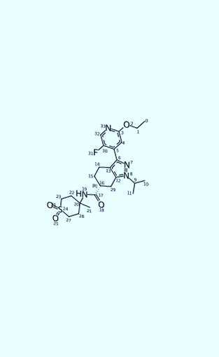 CCOc1cc(-c2nn(C(C)C)c3c2CC[C@@H](C(=O)NC2(C)CCS(=O)(=O)CC2)C3)c(F)cn1